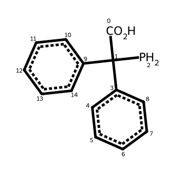 O=C(O)C(P)(c1ccccc1)c1ccccc1